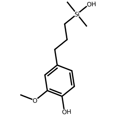 COc1cc(CCC[Si](C)(C)O)ccc1O